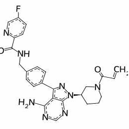 C=CC(=O)N1CCC[C@@H](n2nc(-c3ccc(CNC(=O)c4ccc(F)cn4)cc3)c3c(N)ncnc32)C1